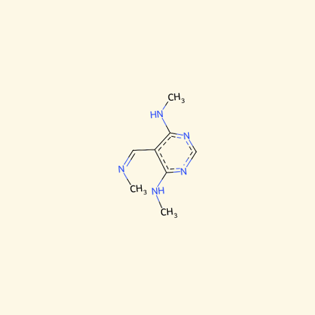 C/N=C\c1c(NC)ncnc1NC